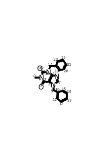 Cn1c(=O)c2c(ncn2Cc2ccccc2)n(Cc2ccccc2)c1=O